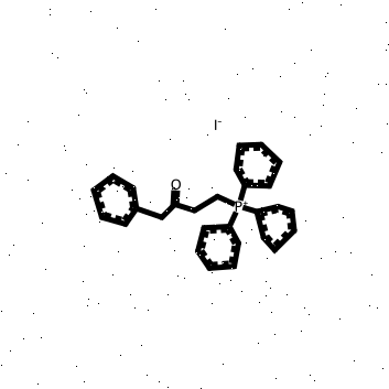 O=C(CC[P+](c1ccccc1)(c1ccccc1)c1ccccc1)Cc1ccccc1.[I-]